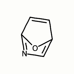 c1cc2ncc1o2